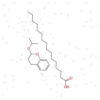 CC(C)OC1CCc2ccccc2O1.CCCCCCCCCCCCCCCC(=O)O